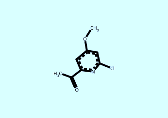 COc1cc(Cl)nc(C(C)=O)c1